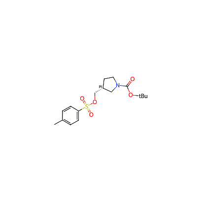 Cc1ccc(S(=O)(=O)OC[C@@H]2CCN(C(=O)OC(C)(C)C)C2)cc1